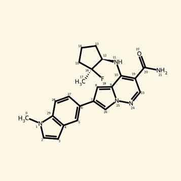 Cn1ccc2cc(-c3cc4c(N[C@@H]5CCC[C@]5(C)F)c(C(N)=O)cnn4c3)ccc21